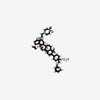 C=C[C@]12CC[C@@H]3C4[C@H](C(=C)C)CC[C@]4(NCCN4CCS(=O)(=O)CC4)CC[C@@]3(C)[C@]1(C)CCC1C(C)(C)C(C3CCC(COc4ccccn4)(C(=O)O)CC3)=CC[C@@]12C